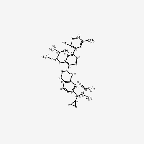 CCN(Cc1cc(-c2cc(C)ncc2F)ccc1C1CCc2ccc([C@H](C3CC3)[C@H](C)C(C)=O)cc2O1)C(C)C